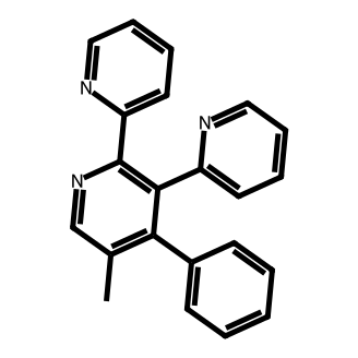 Cc1cnc(-c2ccccn2)c(-c2ccccn2)c1-c1ccccc1